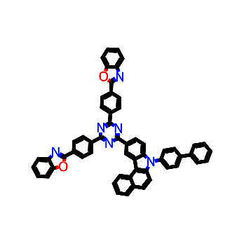 c1ccc(-c2ccc(-n3c4ccc(-c5nc(-c6ccc(-c7nc8ccccc8o7)cc6)nc(-c6ccc(-c7nc8ccccc8o7)cc6)n5)cc4c4c5ccccc5ccc43)cc2)cc1